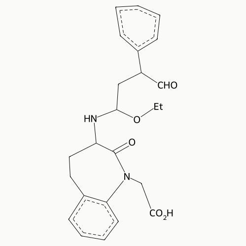 CCOC(CC(C=O)c1ccccc1)NC1CCc2ccccc2N(CC(=O)O)C1=O